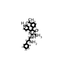 CC(C)c1cccc(-c2c(-c3ccncc3)nc(NC[C@@H](N)Cc3ccccc3)n(C)c2=O)c1